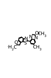 [CH2][C@H]1Cc2c(ccc3nc(-c4cc(C)cc5nc(OC)cnc45)sc23)O1